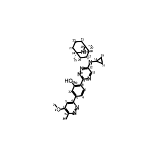 COc1cc(-c2ccc(-c3ncc(N(C4CC4)[C@H]4C[C@]5(C)CCC[C@](C)(C4)N5)nn3)c(O)c2)nnc1C